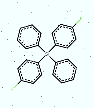 Fc1ccc([Si](c2ccccc2)(c2ccccc2)c2ccc(F)cc2)cc1